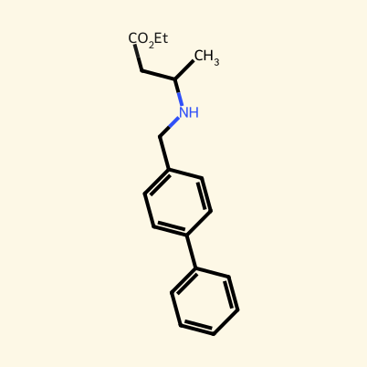 CCOC(=O)CC(C)NCc1ccc(-c2ccccc2)cc1